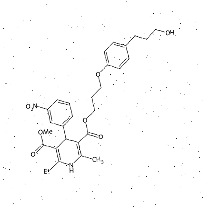 CCC1=C(C(=O)OC)C(c2cccc([N+](=O)[O-])c2)C(C(=O)OCCCOc2ccc(CCCO)cc2)=C(C)N1